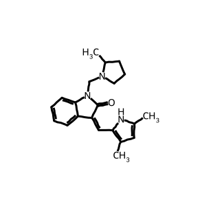 Cc1cc(C)c(/C=C2\C(=O)N(CN3CCCC3C)c3ccccc32)[nH]1